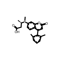 Cc1cccc(C)c1-c1cc(=O)oc2cc(N(C)[C@H](C)CC(=O)O)ccc12